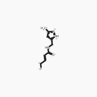 Cc1cc(CNC(=O)/C=C/CF)[nH]n1